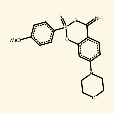 COc1ccc(P2(=S)Oc3cc(N4CCOCC4)ccc3C(=N)S2)cc1